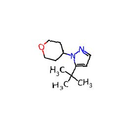 CC(C)(C)c1ccnn1C1CCOCC1